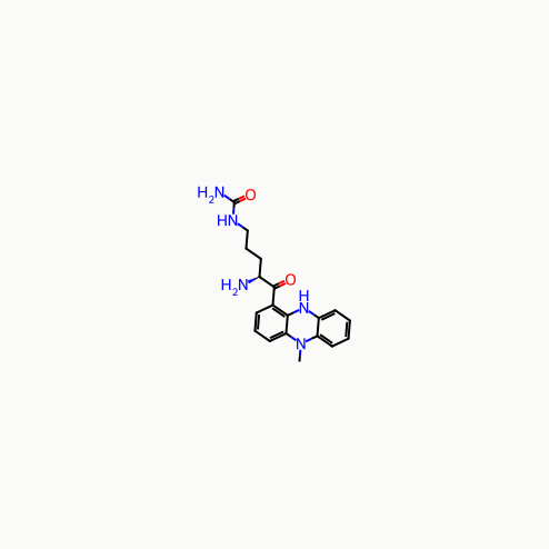 CN1c2ccccc2Nc2c(C(=O)[C@@H](N)CCCNC(N)=O)cccc21